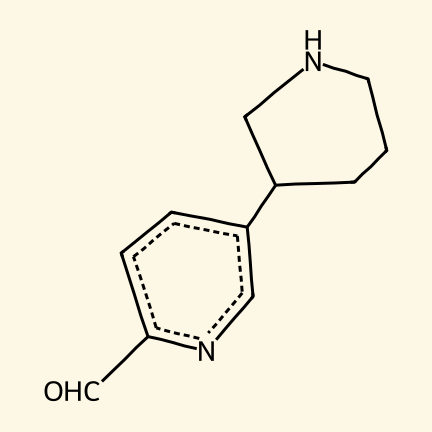 O=Cc1ccc(C2CCCNC2)cn1